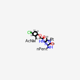 CCCCCNc1nc(NC(=O)COc2ccc(Cl)cc2CNC(C)=O)c(C)n(CC)c1=O